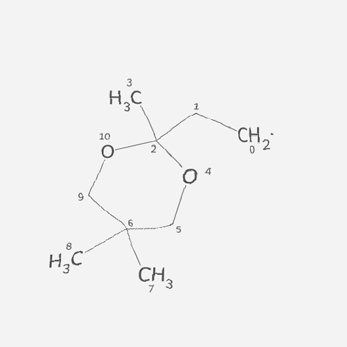 [CH2]CC1(C)OCC(C)(C)CO1